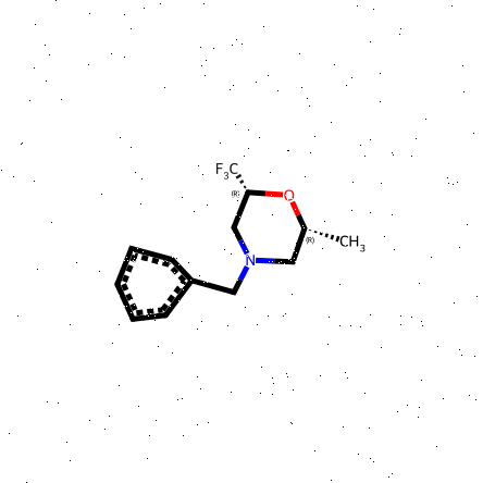 C[C@@H]1CN(Cc2ccccc2)C[C@H](C(F)(F)F)O1